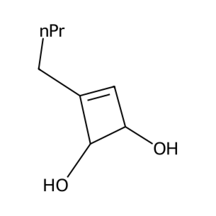 CCCCC1=CC(O)C1O